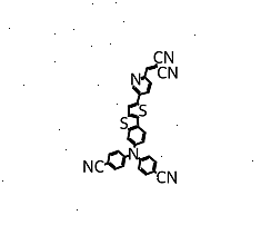 N#CC(C#N)=Cc1ccc(-c2cc3sc4cc(N(c5ccc(C#N)cc5)c5ccc(C#N)cc5)ccc4c3s2)cn1